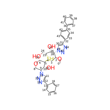 CO[C@H]1C[SH]([C@@H]2COC[C@H](n3cc(-c4ccccc4)nn3)[C@H]2O)[C@H](CO)[C@H](O)[C@@H]1n1cc(-c2ccc(-c3ccccc3)cc2)nn1